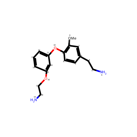 COc1cc(CCN)ccc1Oc1cccc(OCCN)c1